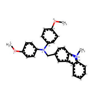 COc1ccc(N(Cc2ccc3c(c2)c2ccccc2n3C)c2ccc(OC)cc2)cc1